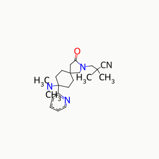 CN(C)C1(c2ccccn2)CCC2(CC1)CC(=O)N(CC(C)(C)C#N)C2